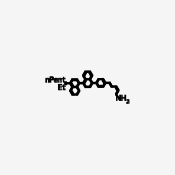 CCCCCC(CC)C1=C2C=CCCC2C(C2=C3C=CC=CC3C(C3C=CC(CC/C=C\CN)=CC3)CC2)C=C1